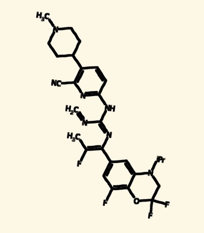 C=N/C(=N\C(=C(/C)F)c1cc(F)c2c(c1)N(C(C)C)CC(F)(F)O2)Nc1ccc(C2CCN(C)CC2)c(C#N)n1